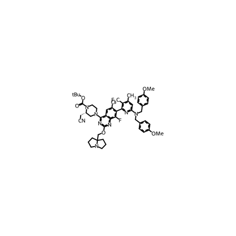 COc1ccc(CN(Cc2ccc(OC)cc2)c2cc(C)c(C(F)(F)F)c(-c3c(Cl)cc4c(N5CCN(C(=O)OC(C)(C)C)[C@@H](CC#N)C5)nc(OCC56CCCN5CCC6)nc4c3F)n2)cc1